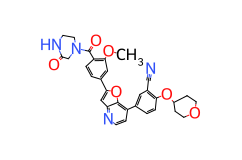 COc1cc(-c2cc3nccc(-c4ccc(OC5CCOCC5)c(C#N)c4)c3o2)ccc1C(=O)N1CCNC(=O)C1